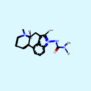 CCCc1c2c3c(cccc3n1NC(=O)N(CC)CC)C1=CCCN(C)[C@@H]1C2